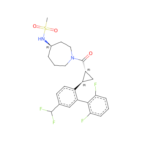 CS(=O)(=O)N[C@@H]1CCCN(C(=O)[C@@H]2C[C@H]2c2ccc(C(F)F)cc2-c2c(F)cccc2F)CC1